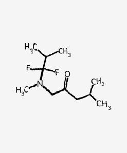 CC(C)CC(=O)CN(C)C(F)(F)C(C)C